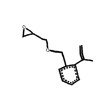 C=C(C)c1ccccc1COCC1CO1